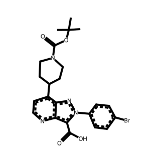 CC(C)(C)OC(=O)N1CCC(c2ccnc3c(C(=O)O)n(-c4ccc(Br)cc4)nc23)CC1